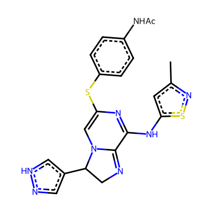 CC(=O)Nc1ccc(SC2=CN3C(=NCC3c3cn[nH]c3)C(Nc3cc(C)ns3)=N2)cc1